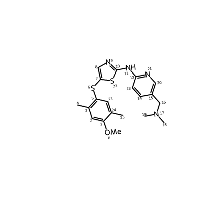 COc1cc(C)c(Sc2cnc(Nc3ccc(CN(C)C)cn3)s2)cc1C